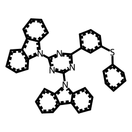 c1ccc(Sc2cccc(-c3nc(-n4c5ccccc5c5ccccc54)nc(-n4c5ccccc5c5ccccc54)n3)c2)cc1